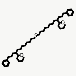 c1ccc(CCCC(CCCCCCCCSCCCCCCCCC(CCCc2ccccc2)C2CCCCO2)C2CCCCO2)cc1